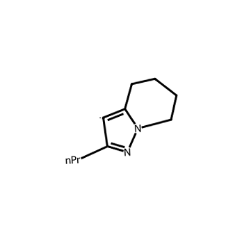 CCCc1[c]c2n(n1)CCCC2